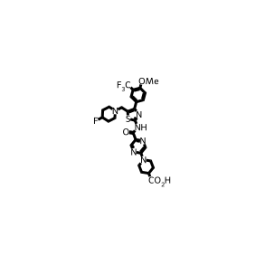 COc1ccc(-c2nc(NC(=O)c3cnc(N4CCC(C(=O)O)CC4)cn3)sc2CN2CCC(F)CC2)cc1C(F)(F)F